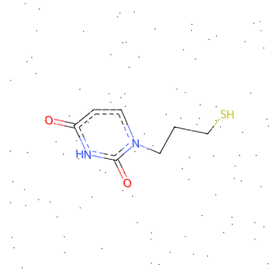 O=c1ccn(CCCS)c(=O)[nH]1